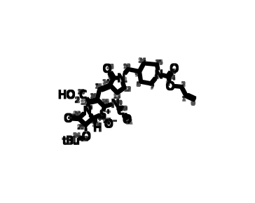 C=CCOC(=O)N1CCC(CN2CCC(=CC3=C(C(=O)O)N4C(=O)[C@@H](OC(C)(C)C)[C@H]4[S@@+]([O-])C3N=C=O)C2=O)CC1